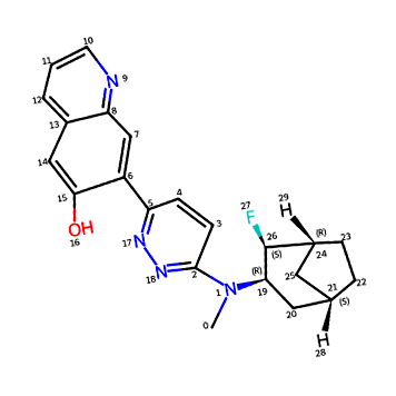 CN(c1ccc(-c2cc3ncccc3cc2O)nn1)[C@@H]1C[C@H]2CC[C@H](C2)[C@@H]1F